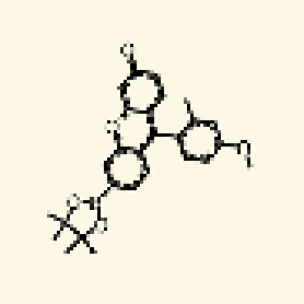 COc1ccc(-c2c3ccc(=O)cc-3oc3cc(B4OC(C)(C)C(C)(C)O4)ccc23)c(C)c1